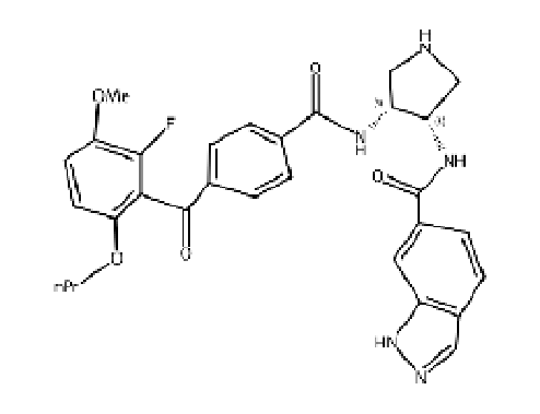 CCCOc1ccc(OC)c(F)c1C(=O)c1ccc(C(=O)N[C@@H]2CNC[C@@H]2NC(=O)c2ccc3cn[nH]c3c2)cc1